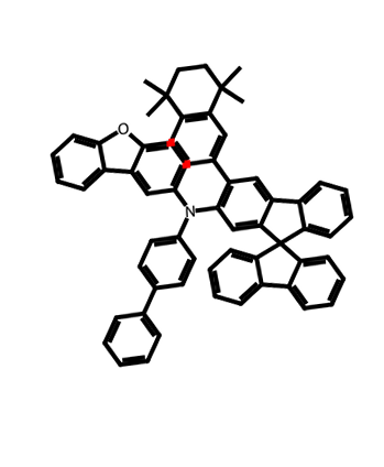 CC1(C)CCC(C)(C)c2cc(-c3cc4c(cc3N(c3ccc(-c5ccccc5)cc3)c3ccc5oc6ccccc6c5c3)C3(c5ccccc5-c5ccccc53)c3ccccc3-4)ccc21